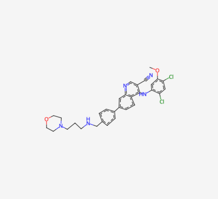 COc1cc(Nc2c(C#N)cnc3cc(-c4ccc(CNCCCN5CCOCC5)cc4)ccc23)c(Cl)cc1Cl